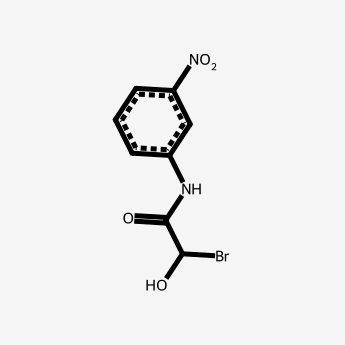 O=C(Nc1cccc([N+](=O)[O-])c1)C(O)Br